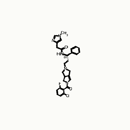 Cn1cnc(CC(=O)N[C@@H](CCN2CC3=CN(C(=O)c4c(F)cccc4Cl)CC3C2)c2ccccc2)c1